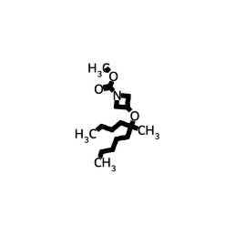 CCCCCC(C)(CCCC)OC1CN(C(=O)OC)C1